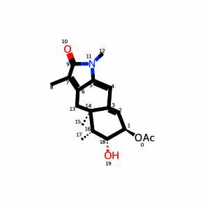 CC(=O)O[C@@H]1C=C2C=C3C(=C(C)C(=O)N3C)C[C@]2(C)[C@@H](C)[C@H]1O